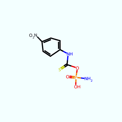 NP(=O)(O)OC(=S)Nc1ccc([N+](=O)[O-])cc1